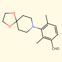 Cc1ccc(C=O)c(C)c1N1CCC2(CC1)OCCO2